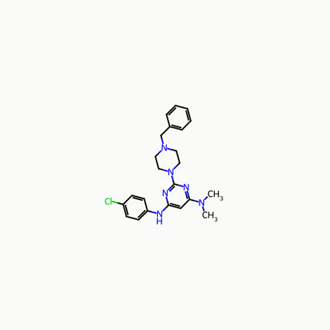 CN(C)c1cc(Nc2ccc(Cl)cc2)nc(N2CCN(Cc3ccccc3)CC2)n1